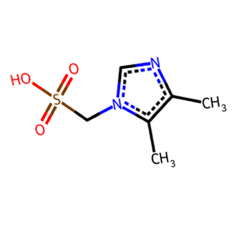 Cc1ncn(CS(=O)(=O)O)c1C